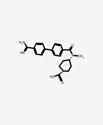 CN(C(=O)c1ccc(-c2ccc(C(=N)N)cc2)cc1)[C@H]1CC[C@H](C(=O)O)CC1